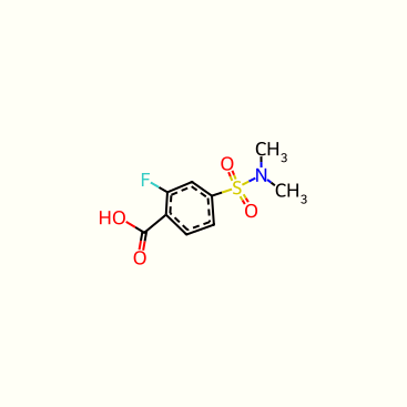 CN(C)S(=O)(=O)c1ccc(C(=O)O)c(F)c1